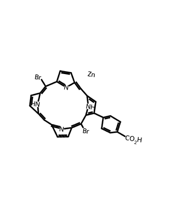 O=C(O)c1ccc(-c2cc3cc4nc(c(Br)c5ccc(cc6nc(c(Br)c2[nH]3)C=C6)[nH]5)C=C4)cc1.[Zn]